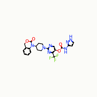 O=C(Nc1cc[nH]n1)Oc1cnc(N2CCC(N3C(=O)OCc4ccccc43)CC2)nc1C(F)(F)F